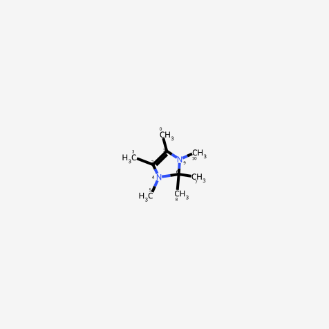 CC1=C(C)N(C)C(C)(C)N1C